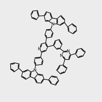 c1ccc(-c2ccc3c4ccc(-c5ccccc5)cc4n(-c4ccc(-c5cc(-c6cccc(-c7nc(-c8ccccc8)cc(-c8ccccc8)n7)c6)c(-c6ccc(-n7c8cc(-c9ccccc9)ccc8c8ccc(-c9ccccc9)cc87)cc6)cn5)cc4)c3c2)cc1